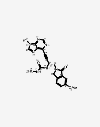 COc1ccc2c(c1)C(=O)N(C[C@@H](C#Cc1ncnc3c1ncn3C(C)C)NC(=O)NC=O)C2